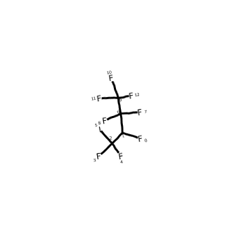 FC(C(F)(F)I)C(F)(F)C(F)(F)F